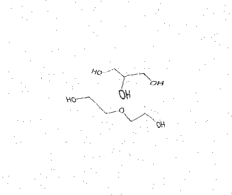 OCC(O)CO.OCCOCCO